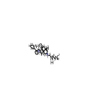 CN(C)CCNC/C=C1\C[C@H]2C[C@@H](O)[C@H](/C=C/[C@@H](O)C3CCCC3)[C@H]2C1